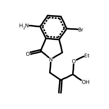 C=C(CN1Cc2c(Br)ccc(N)c2C1=O)C(O)OCC